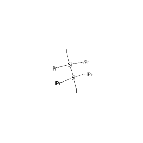 CC(C)[Si](I)(C(C)C)[Si](I)(C(C)C)C(C)C